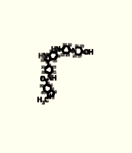 Cn1ccc2cc(C(=O)Nc3ccc(-c4c[nH]c5cc(Nc6ccc(N7CCC(O)CC7)cc6)ccc45)cc3)ccc21